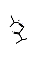 CC(C)/[SH]=C\C(=S)C(C)C